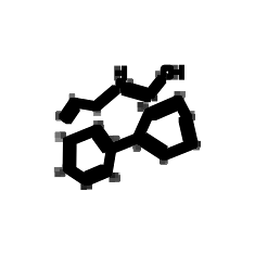 C=CC[SH]=CO.c1ccc(-c2ccccc2)cc1